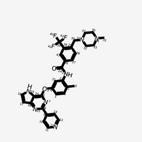 Cc1ccc(Oc2nc(-c3ccncc3)nc3cc[nH]c23)cc1NC(=O)c1ccc(CN2CCN(C)CC2)c(C(F)(F)F)c1